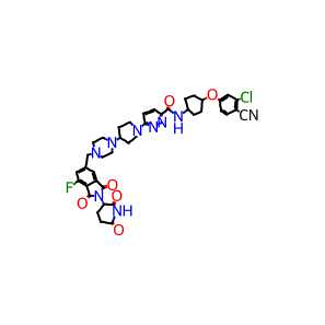 N#Cc1ccc(OC2CCC(NC(=O)c3ccc(N4CCC(N5CCN(Cc6cc(F)c7c(c6)C(=O)N(C6CCC(=O)NC6=O)C7=O)CC5)CC4)nn3)CC2)cc1Cl